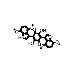 COc1ccc(OC)c2c(C3=C(O)C(=O)C(c4c[nH]c5c(OC)ccc(OC)c45)=C(O)C3=O)c[nH]c12